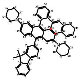 CC1(C)c2ccccc2-c2ccc(-c3c4cc(N5CCCCC5)ccc4c(-c4ccccc4C4=CC5=C(C=CCC5)CC4)c4cc(N5CCCCC5)ccc34)cc21